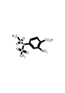 CS(=O)(=O)N(c1ccc(C(=O)O)c([N+](=O)[O-])c1)S(C)(=O)=O